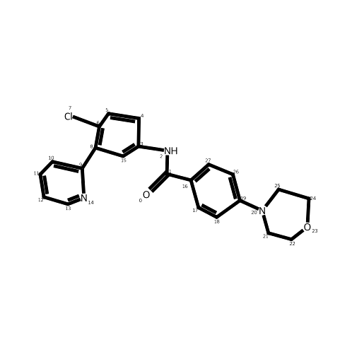 O=C(Nc1ccc(Cl)c(-c2ccccn2)c1)c1ccc(N2CCOCC2)cc1